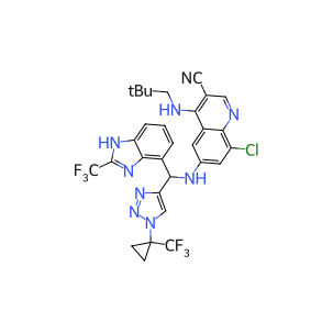 CC(C)(C)CNc1c(C#N)cnc2c(Cl)cc(NC(c3cn(C4(C(F)(F)F)CC4)nn3)c3cccc4[nH]c(C(F)(F)F)nc34)cc12